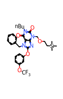 CCCCn1c(=O)c2c(nc(Oc3cccc(OC(F)(F)F)c3)n2Cc2ccccc2)n(COCC[Si](C)(C)C)c1=O